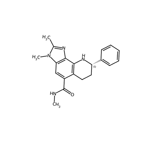 CNC(=O)c1cc2c(nc(C)n2C)c2c1CC[C@@H](c1ccccc1)N2